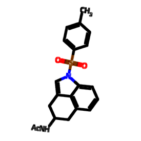 CC(=O)NC1Cc2cccc3c2c(cn3S(=O)(=O)c2ccc(C)cc2)C1